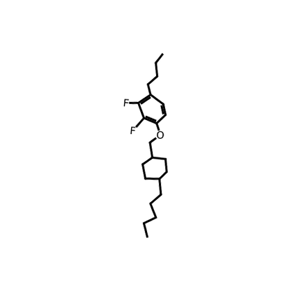 CCCCCC1CCC(COc2ccc(CCCC)c(F)c2F)CC1